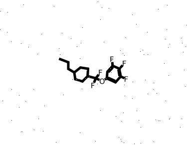 CCCC1CCC(C(F)(F)Oc2cc(F)c(F)c(F)c2)CC1